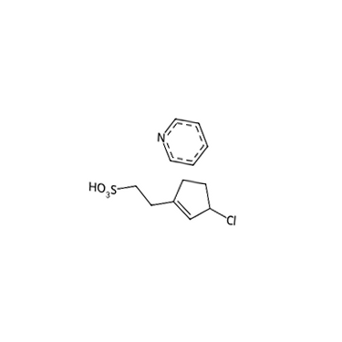 O=S(=O)(O)CCC1=CC(Cl)CC1.c1ccncc1